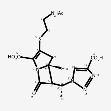 CC(=O)NCCSC1=C(C(=O)O)N2C(=O)[C@H]([C@@H](C)n3cc(C(=O)O)nn3)[C@H]2C1